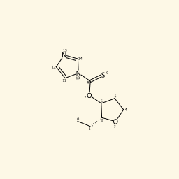 CC[C@H]1OCCC1OC(=S)n1ccnc1